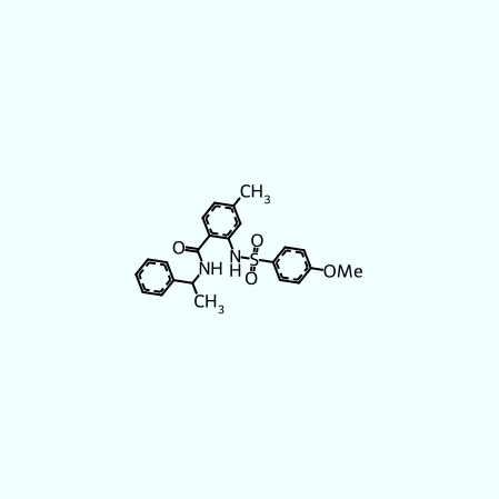 COc1ccc(S(=O)(=O)Nc2cc(C)ccc2C(=O)NC(C)c2ccccc2)cc1